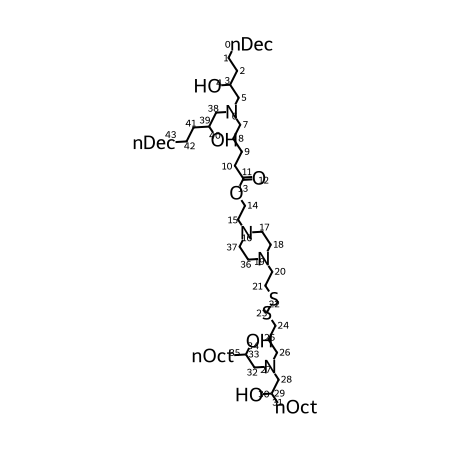 CCCCCCCCCCCCC(O)CN(CCCCC(=O)OCCN1CCN(CCSSCCCN(CC(O)CCCCCCCC)CC(O)CCCCCCCC)CC1)CC(O)CCCCCCCCCCCC